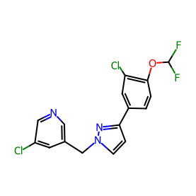 FC(F)Oc1ccc(-c2ccn(Cc3cncc(Cl)c3)n2)cc1Cl